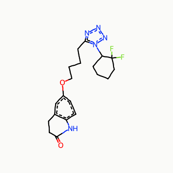 O=C1CCc2cc(OCCCCc3nnnn3C3CCCCC3(F)F)ccc2N1